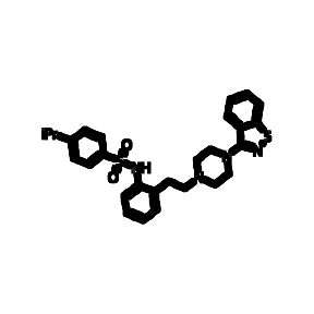 CC(C)c1ccc(S(=O)(=O)Nc2ccccc2CCN2CCN(c3nsc4ccccc34)CC2)cc1